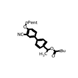 CCCCCOc1ccc(-c2ccc(C(C)OC(=O)C(C)CC)cc2)cc1C#N